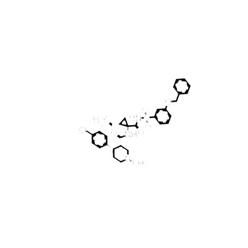 C=C[C@@H]1C[C@]1(NC(=O)[C@@H]1CN(C)CC[C@H]1c1ccc(Cl)cc1)C(=O)NS(=O)(=O)c1cccc(OCc2ccccc2)c1